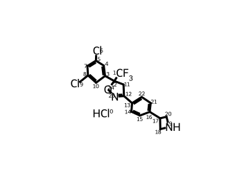 Cl.FC(F)(F)C1(c2cc(Cl)cc(Cl)c2)CC(c2ccc(C3CNC3)cc2)=NO1